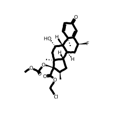 COC(=O)O[C@]1(C(=O)OCCl)[C@H](C)C[C@H]2[C@@H]3C[C@H](F)C4=CC(=O)C=C[C@]4(C)[C@H]3[C@@H](O)C[C@@]21C